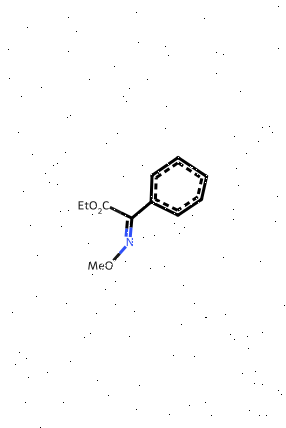 CCOC(=O)C(=NOC)c1ccccc1